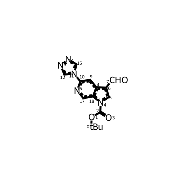 CC(C)(C)OC(=O)n1cc(C=O)c2cc(-n3cnnc3)ncc21